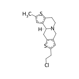 Cc1cc2c(s1)CCN1Cc3cc(CCCl)sc3C[C@@H]21